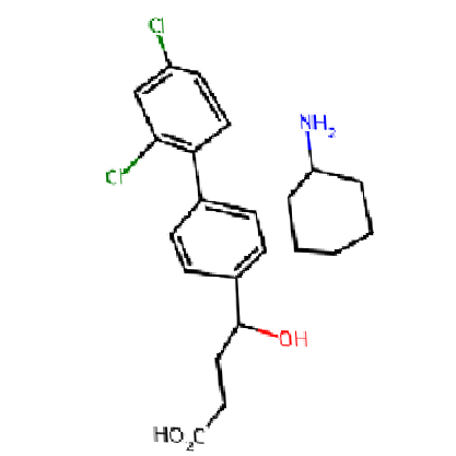 NC1CCCCC1.O=C(O)CCC(O)c1ccc(-c2ccc(Cl)cc2Cl)cc1